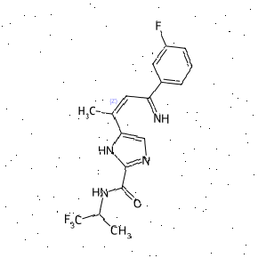 C/C(=C/C(=N)c1cccc(F)c1)c1cnc(C(=O)NC(C)C(F)(F)F)[nH]1